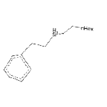 CCCCCCCC[SiH2]CCc1ccccc1